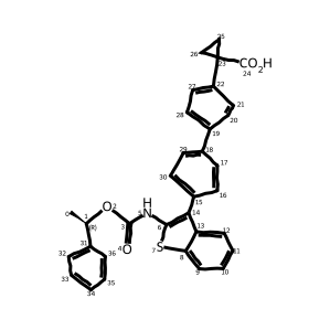 C[C@@H](OC(=O)Nc1sc2ccccc2c1-c1ccc(-c2ccc(C3(C(=O)O)CC3)cc2)cc1)c1ccccc1